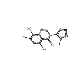 Cn1nccc1-n1cnc2c(O)c(Cl)cc(Cl)c2c1=O